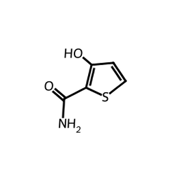 NC(=O)c1sccc1O